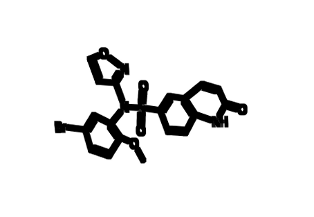 COc1ccc(Br)cc1N(c1ccon1)S(=O)(=O)c1ccc2[nH]c(=O)ccc2c1